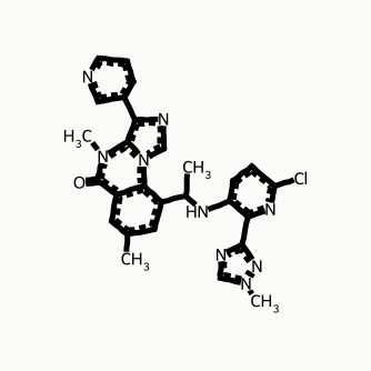 Cc1cc(C(C)Nc2ccc(Cl)nc2-c2ncn(C)n2)c2c(c1)c(=O)n(C)c1c(-c3cccnc3)ncn21